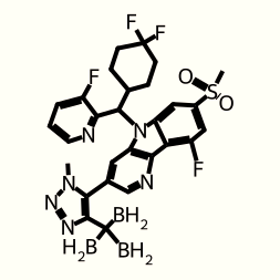 BC(B)(B)c1nnn(C)c1-c1cnc2c3c(F)cc(S(C)(=O)=O)cc3n(C(c3ncccc3F)C3CCC(F)(F)CC3)c2c1